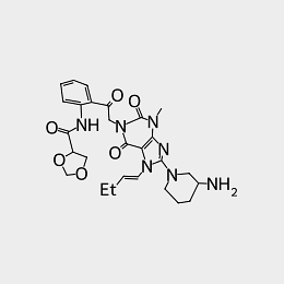 CC/C=C/n1c(N2CCCC(N)C2)nc2c1c(=O)n(CC(=O)c1ccccc1NC(=O)C1COCO1)c(=O)n2C